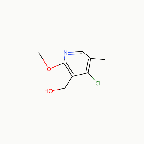 COc1ncc(C)c(Cl)c1CO